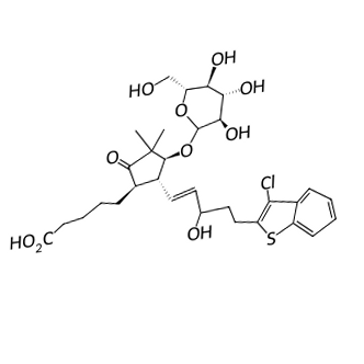 CC1(C)C(=O)[C@H](CCCCC(=O)O)[C@@H](/C=C/C(O)CCc2sc3ccccc3c2Cl)[C@@H]1OC1O[C@H](CO)[C@@H](O)[C@H](O)[C@H]1O